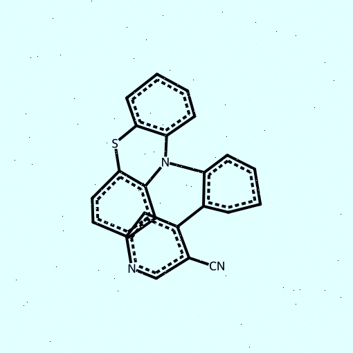 N#Cc1cnccc1-c1ccccc1N1c2ccccc2Sc2ccccc21